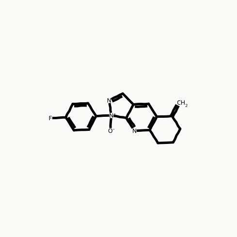 C=C1CCCc2nc3c(cc21)C=N[N+]3([O-])c1ccc(F)cc1